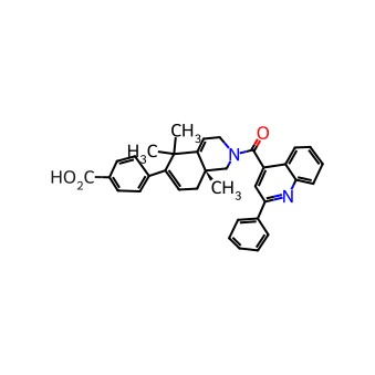 CC1(C)C(c2ccc(C(=O)O)cc2)=CC[C@@]2(C)CN(C(=O)c3cc(-c4ccccc4)nc4ccccc34)CC=C12